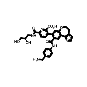 NCc1ccc(NC(=O)c2cc3c(cc2-c2ccc(C(=O)NC[C@@H](O)CO)nc2C(=O)O)OCCc2ccsc2-3)cc1